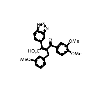 COc1cccc(CC(C(=O)c2ccc(OC)c(OC)c2)=C(C(=O)O)c2ccc3nsnc3c2)c1